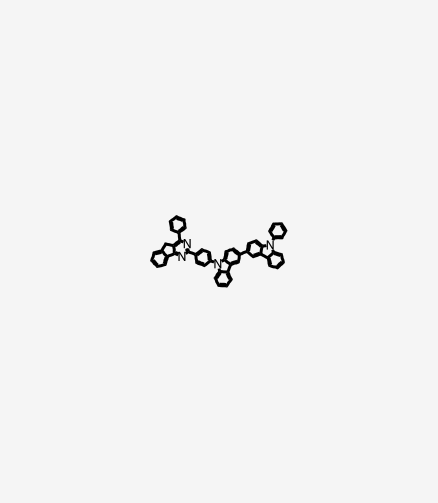 c1ccc(-c2nc(-c3ccc(-n4c5ccccc5c5cc(-c6ccc7c(c6)c6ccccc6n7-c6ccccc6)ccc54)cc3)nc3c2Cc2ccccc2-3)cc1